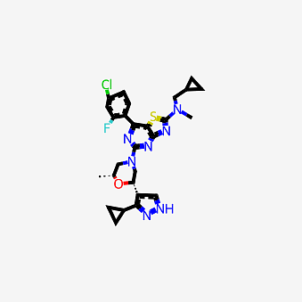 C[C@@H]1CN(c2nc(-c3ccc(Cl)cc3F)c3sc(N(C)CC4CC4)nc3n2)C[C@H](c2c[nH]nc2C2CC2)O1